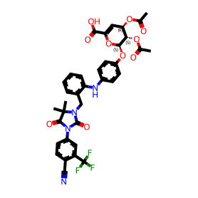 CC(=O)O[C@@H]1[C@@H](Oc2ccc(Nc3ccccc3CN3C(=O)N(c4ccc(C#N)c(C(F)(F)F)c4)C(=O)C3(C)C)cc2)OC(C(=O)O)=C[C@H]1OC(C)=O